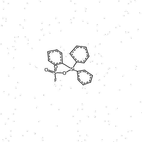 O=S(=O)(F)O[Si](c1ccccc1)(c1ccccc1)c1ccccc1